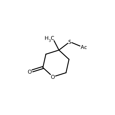 CC(=O)SC1(C)CCOC(=O)C1